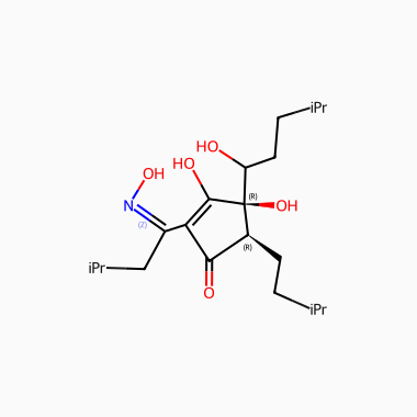 CC(C)CCC(O)[C@@]1(O)C(O)=C(/C(CC(C)C)=N\O)C(=O)[C@@H]1CCC(C)C